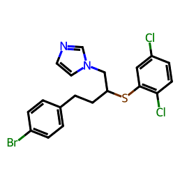 Clc1ccc(Cl)c(SC(CCc2ccc(Br)cc2)Cn2ccnc2)c1